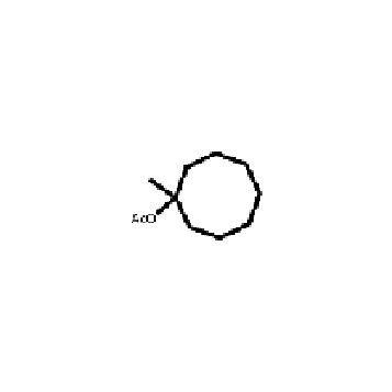 CC(=O)OC1(C)CCCCCCC1